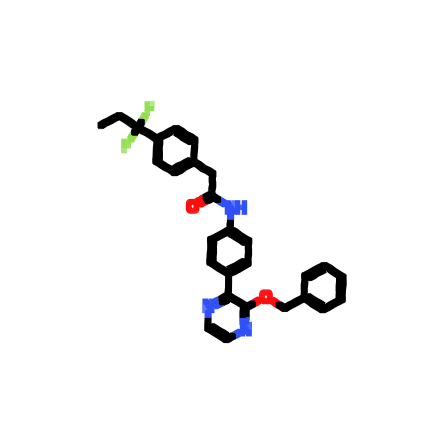 CCC(F)(F)c1ccc(CC(=O)Nc2ccc(-c3nccnc3OCc3ccccc3)cc2)cc1